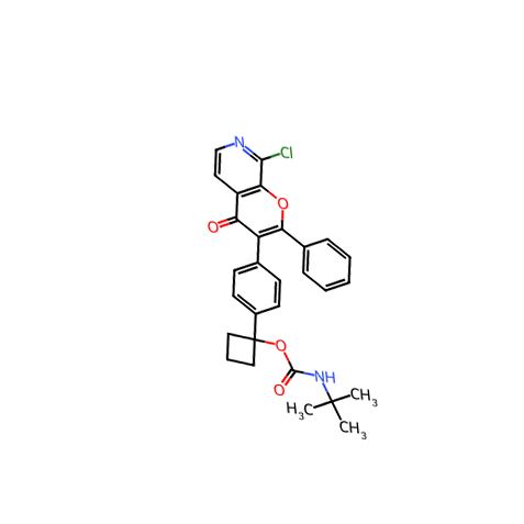 CC(C)(C)NC(=O)OC1(c2ccc(-c3c(-c4ccccc4)oc4c(Cl)nccc4c3=O)cc2)CCC1